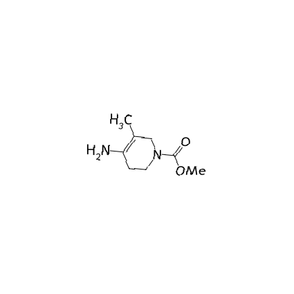 COC(=O)N1CCC(N)=C(C)C1